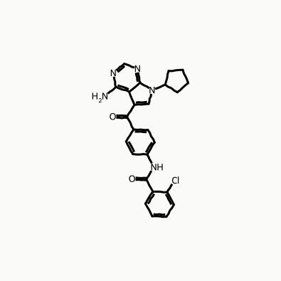 Nc1ncnc2c1c(C(=O)c1ccc(NC(=O)c3ccccc3Cl)cc1)cn2C1CCCC1